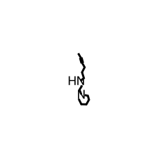 CC#CCCCNCCN1CCCCC1